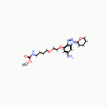 CC(C)(C)OC(=O)NCCCCOCCOc1cc(N)cc2c1nnn2C1CCCCO1